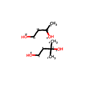 CC(C)(O)CCO.CC(O)CCO